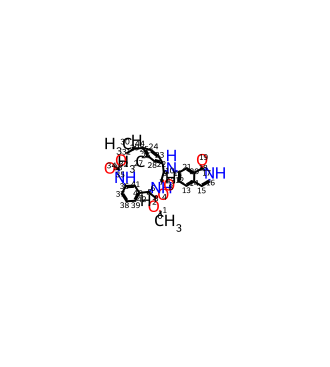 CCOC(=O)[C@H]1NC(=O)[C@H](Nc2ccc3cc[nH]c(=O)c3c2)c2ccc(c(C)c2)[C@@H](C)COC(=O)Nc2cccc1c2